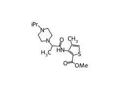 COC(=O)c1scc(C)c1NC(=O)C(C)N1CCN(C(C)C)CC1